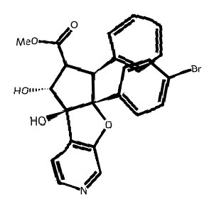 COC(=O)C1[C@@H](O)[C@@]2(O)c3ccncc3O[C@@]2(c2ccc(Br)cc2)[C@@H]1c1ccccc1